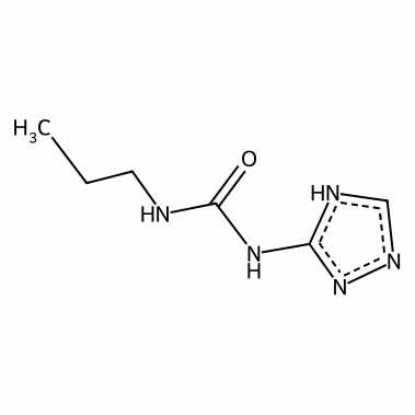 CCCNC(=O)Nc1nnc[nH]1